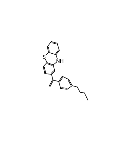 C=C(c1ccc(CCCC)cc1)c1ccc2c(c1)Nc1ccccc1S2